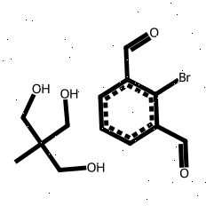 CC(CO)(CO)CO.O=Cc1cccc(C=O)c1Br